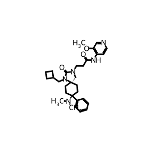 COc1cnccc1NC(=O)CCN1C[C@]2(CC[C@](c3ccccc3)(N(C)C)CC2)N(CC2CCC2)C1=O